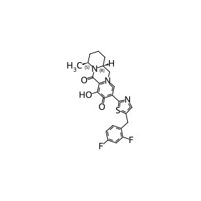 C[C@H]1CCC[C@@H]2Cn3cc(-c4ncc(Cc5ccc(F)cc5F)s4)c(=O)c(O)c3C(=O)N21